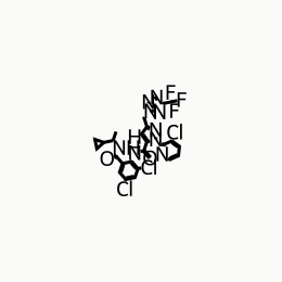 CC(NC(=O)c1cc(Cl)cc(Cl)c1NC(=O)c1cc(Cn2nnc(C(F)(F)F)n2)nn1-c1ncccc1Cl)C1CC1